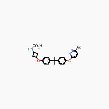 CC(=O)c1ccc(Oc2ccc(C(C)(C)c3ccc(OC4CC(NC(=O)O)C4)cc3)cc2)nn1